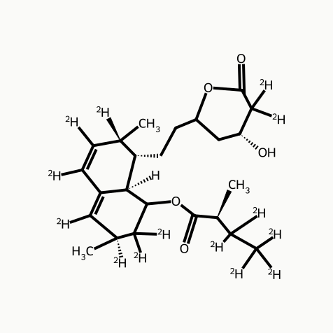 [2H]C1=C([2H])[C@]([2H])(C)[C@H](CCC2C[C@@H](O)C([2H])([2H])C(=O)O2)[C@@H]2C1=C([2H])[C@]([2H])(C)C([2H])([2H])C2OC(=O)[C@@H](C)C([2H])([2H])C([2H])([2H])[2H]